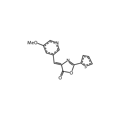 COc1cncc(/C=C2\N=C(c3cccs3)OC2=O)c1